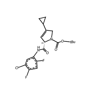 CC(C)(C)OC(=O)N1CC(C2CC2)=C[C@H]1C(=O)Nc1cc(Cl)c(F)cc1F